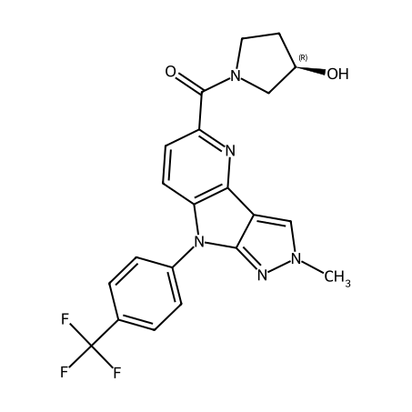 Cn1cc2c3nc(C(=O)N4CC[C@@H](O)C4)ccc3n(-c3ccc(C(F)(F)F)cc3)c2n1